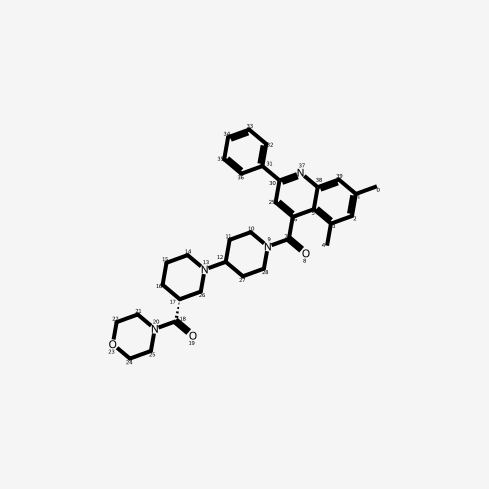 Cc1cc(C)c2c(C(=O)N3CCC(N4CCC[C@@H](C(=O)N5CCOCC5)C4)CC3)cc(-c3ccccc3)nc2c1